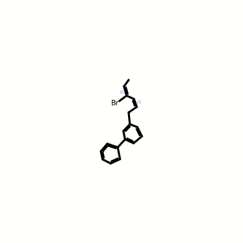 C/C=C(Br)\C=C/Cc1cccc(C2=C=C=CC=C2)c1